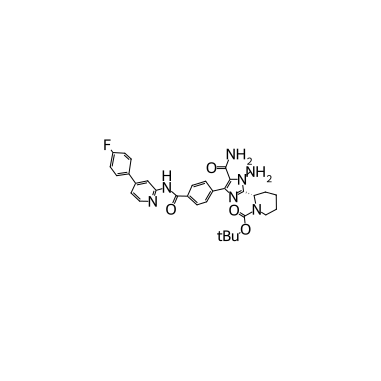 CC(C)(C)OC(=O)N1CCCC[C@H]1c1nc(-c2ccc(C(=O)Nc3cc(-c4ccc(F)cc4)ccn3)cc2)c(C(N)=O)n1N